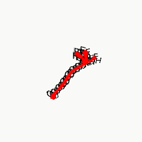 O=C(CCOCCOCCOCCOCCOCCOCCOCCOCCOCCOCCOCCOCCN1C(=O)c2ccccc2C1=O)NC(COCCC(=O)Oc1c(F)c(F)cc(F)c1F)(COCCC(=O)Oc1c(F)c(F)cc(F)c1F)COCCC(O)c1cc(F)c(F)cc1F